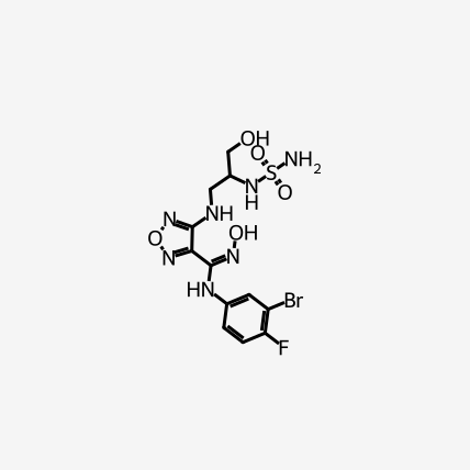 NS(=O)(=O)NC(CO)CNc1nonc1C(=NO)Nc1ccc(F)c(Br)c1